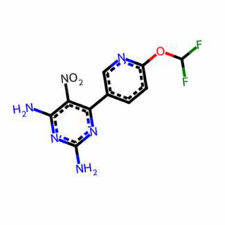 Nc1nc(N)c([N+](=O)[O-])c(-c2ccc(OC(F)F)nc2)n1